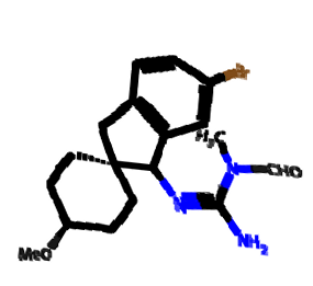 CO[C@H]1CC[C@]2(CC1)Cc1ccc(Br)cc1C2/N=C(/N)N(C)C=O